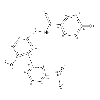 COc1ccc(CNC(=O)c2ccc(=O)[nH]c2)cc1-c1cccc([N+](=O)[O-])c1